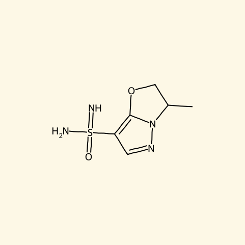 CC1COc2c(S(=N)(N)=O)cnn21